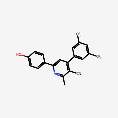 Cc1nc(-c2ccc(O)cc2)cc(-c2cc(C(F)(F)F)cc(C(F)(F)F)c2)c1C#N